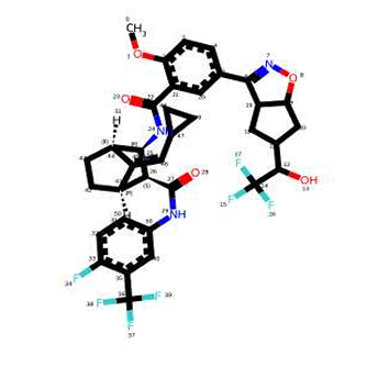 COc1ccc(C2=NOC3CC(C(O)C(F)(F)F)CC23)cc1C(=O)N[C@H]1[C@@H](C(=O)Nc2ccc(F)c(C(F)(F)F)c2)[C@H]2CC[C@@H]1/C2=C\C1CC1